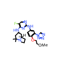 COCCOc1ccc(Nc2ncc(F)c(N[C@@H]3C[C@@H]4CCCN4C(C)(C)C3)n2)cc1-n1cnnn1